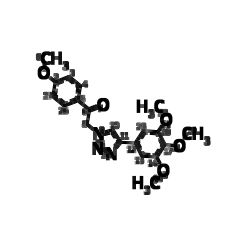 COc1ccc(C(=O)Cn2cc(-c3cc(OC)c(OC)c(OC)c3)nn2)cc1